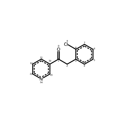 O=C(Cc1ccccc1Cl)c1cccnc1